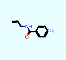 C=CCNC(=O)c1ccc([125I])cc1